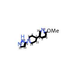 COc1ccc(C2CCN(c3ccn[nH]3)CC2)cn1